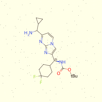 CC(C)(C)OC(=O)N[C@H](c1cn2ccc(C(N)C3CC3)nc2n1)C1CCC(F)(F)CC1